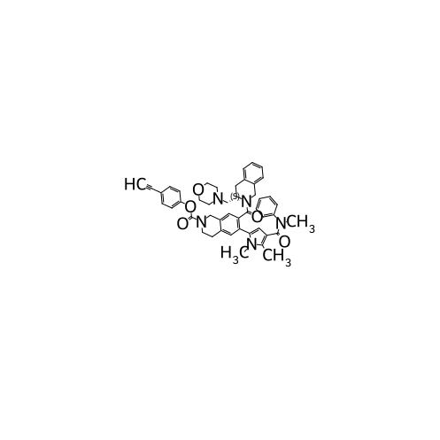 C#Cc1ccc(OC(=O)N2CCc3cc(-c4cc(C(=O)N(C)c5ccccc5)c(C)n4C)c(C(=O)N4Cc5ccccc5C[C@H]4CN4CCOCC4)cc3C2)cc1